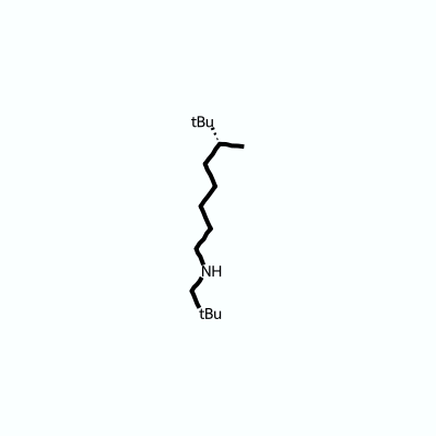 C[C@H](CCCCCNCC(C)(C)C)C(C)(C)C